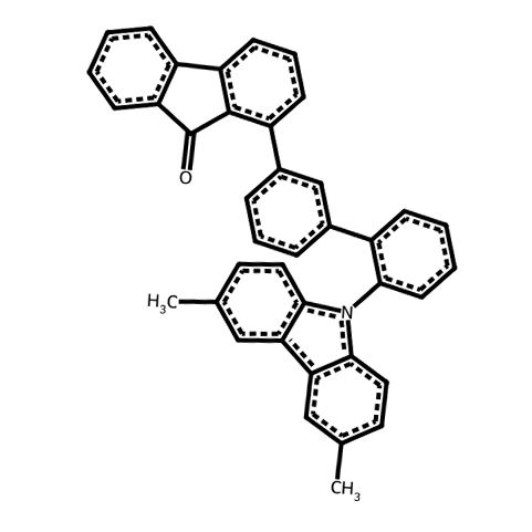 Cc1ccc2c(c1)c1cc(C)ccc1n2-c1ccccc1-c1cccc(-c2cccc3c2C(=O)c2ccccc2-3)c1